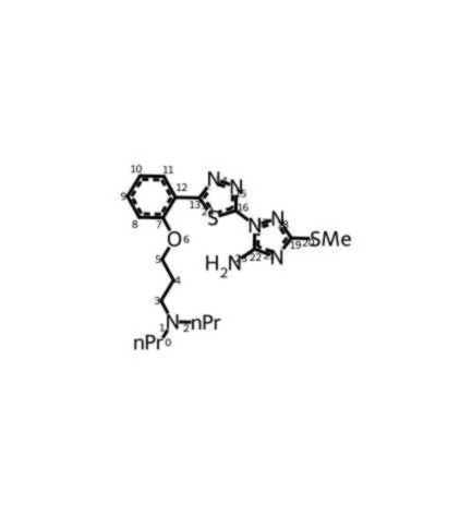 CCCN(CCC)CCCOc1ccccc1-c1nnc(-n2nc(SC)nc2N)s1